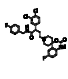 O=C1Nc2ccc(F)cc2C2(CCN(CCC(C(=O)NCc3ccc(F)cc3)c3ccc(Cl)c(Cl)c3)CC2)O1